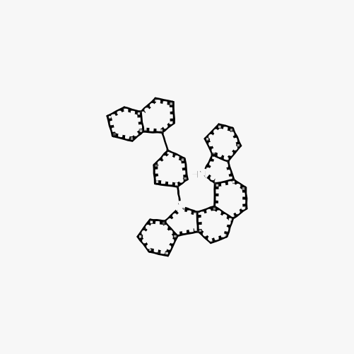 c1ccc2c(-c3ccc(-n4c5ccccc5c5ccc6ccc7c8ccccc8[nH]c7c6c54)cc3)cccc2c1